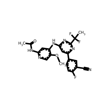 COc1cnc(NC(C)=O)cc1Nc1cc(-c2ccc(F)c(C#N)c2)nc(C(C)(F)F)n1